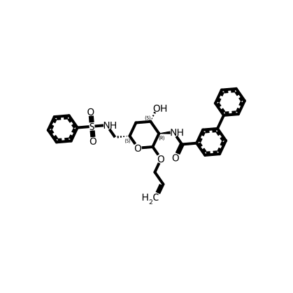 C=CCOC1O[C@H](CNS(=O)(=O)c2ccccc2)C[C@H](O)[C@H]1NC(=O)c1cccc(-c2ccccc2)c1